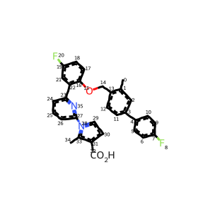 Cc1cc(-c2ccc(F)cc2)ccc1COc1ccc(F)cc1-c1cccc(-n2ccc(C(=O)O)c2C)n1